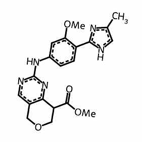 COC(=O)C1COCc2cnc(Nc3ccc(-c4nc(C)c[nH]4)c(OC)c3)nc21